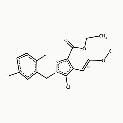 CCOC(=O)c1nn(Cc2cc(F)ccc2F)c(Cl)c1/C=C/OC